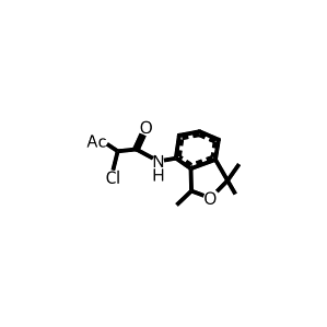 CC(=O)C(Cl)C(=O)Nc1cccc2c1C(C)OC2(C)C